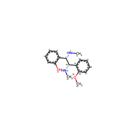 CN[C@@H](c1ccccc1O)[C@@H](NC)c1ccccc1OC